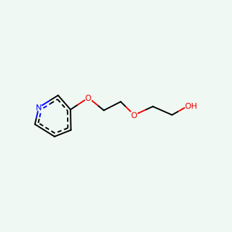 OCCOCCOc1cccnc1